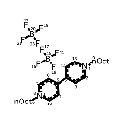 CCCCCCCC[n+]1ccc(-c2cc[n+](CCCCCCCC)cc2)cc1.F[B-](F)(F)F.F[B-](F)(F)F